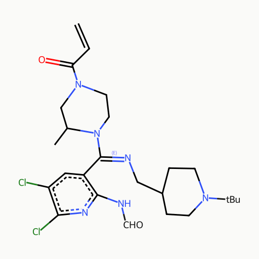 C=CC(=O)N1CCN(/C(=N/CC2CCN(C(C)(C)C)CC2)c2cc(Cl)c(Cl)nc2NC=O)C(C)C1